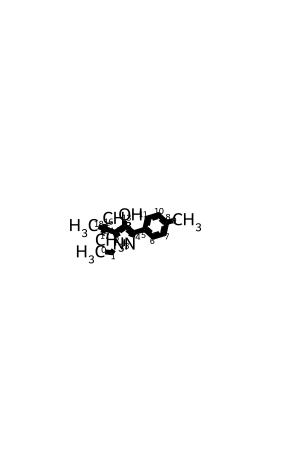 CCn1nc(-c2ccc(C)cc2)c(O)c1C(C)(C)C